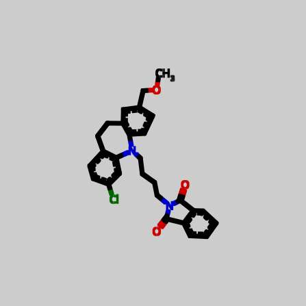 COCc1ccc2c(c1)CCc1ccc(Cl)cc1N2CCCCN1C(=O)c2ccccc2C1=O